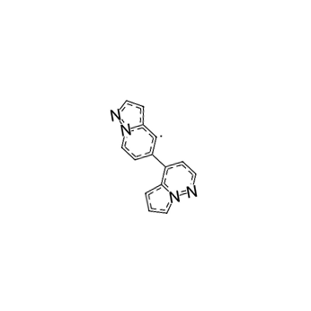 [c]1c(-c2ccnn3cccc23)ccn2nccc12